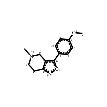 COc1ccc(-c2onc3c2CN(C)CC3)cc1